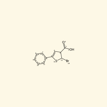 O=C(O)C1C=C(c2ccccc2)SC1Br